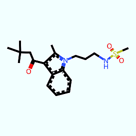 Cc1c(C(=O)CC(C)(C)C)c2ccccc2n1CCCNS(C)(=O)=O